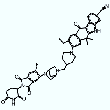 CCc1cc2c(cc1N1CCC(CN3CC4CC3CN4c3cc4c(cc3F)C(=O)N(C3CCC(=O)NC3=O)C4=O)CC1)C(C)(C)c1[nH]c3cc(C#N)ccc3c1C2=O